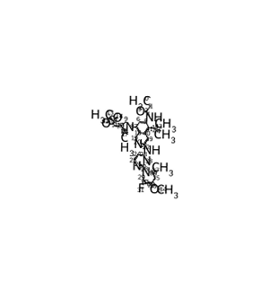 C=CC(=O)Nc1cc(N2C[C@H](CS(C)(=O)=O)[C@H]2C)c2cnc(Nc3ccnc(N4C[C@H](F)[C@H](OC)C[C@@H]4C)n3)cc2c1C(C)C